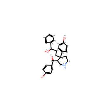 O=C(c1ccc(Br)cc1)C1CNCCC1(CCC(O)c1ccccc1)c1ccc(Br)cc1